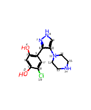 Oc1cc(O)c(-c2n[nH]cc2N2CCNCC2)cc1Cl